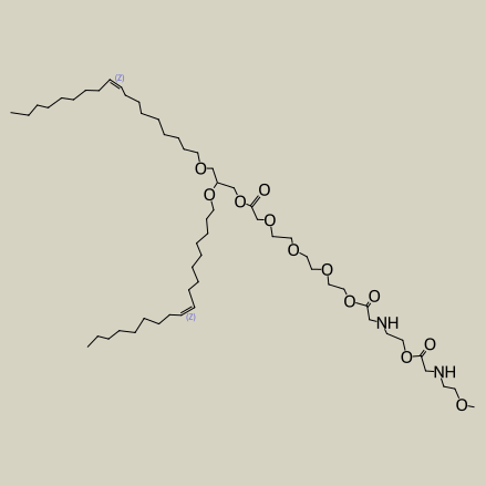 CCCCCCCC/C=C\CCCCCCCCOCC(COC(=O)COCCOCCOCCOC(=O)CNCCOC(=O)CNCCOC)OCCCCCCCC/C=C\CCCCCCCC